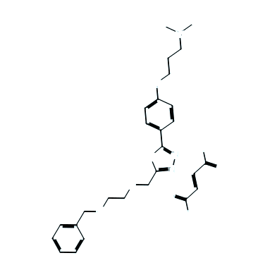 CN(C)CCCOc1ccc(-c2nnc(CSCCOCc3ccccc3)o2)cc1.O=C(O)C=CC(=O)O